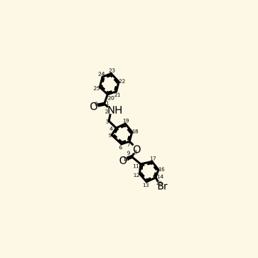 O=C(NCc1ccc(OC(=O)c2ccc(Br)cc2)cc1)c1ccccc1